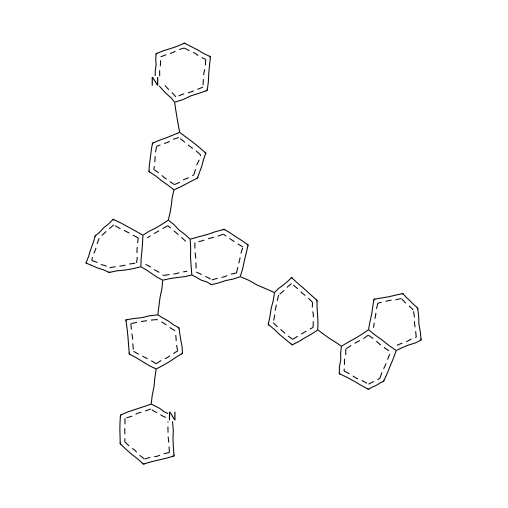 c1ccc(-c2ccc(-c3c4ccccc4c(-c4ccc(-c5ccccn5)cc4)c4cc(-c5ccc(-c6cccc7ccccc67)cc5)ccc34)cc2)nc1